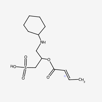 C/C=C/C(=O)OC(CNC1CCCCC1)CS(=O)(=O)O